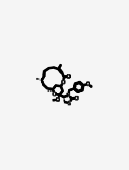 COc1ccc(CN2C(=O)SC[C@@H]2[C@@]2(OC)CC3C[C@@H](CC[C@H](C)/C=C/CC/C(C)=C\C(=O)O3)O2)cc1